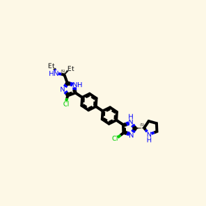 CCN[C@@H](CC)c1nc(Cl)c(-c2ccc(-c3ccc(-c4[nH]c([C@@H]5CCCN5)nc4Cl)cc3)cc2)[nH]1